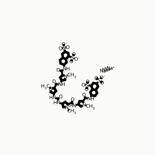 Cn1cc(NC(=O)Nc2cc(C(=O)Nc3cc(C(=O)Nc4ccc5cc(S(=O)(=O)[O-])cc(S(=O)(=O)[O-])c5c4)n(C)c3)n(C)c2)cc1C(=O)Nc1cc(C(=O)Nc2ccc3cc(S(=O)(=O)[O-])cc(S(=O)(=O)[O-])c3c2)n(C)c1.[Na+].[Na+].[Na+].[Na+]